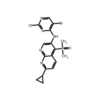 CP(C)(=O)c1c(Nc2nc(Cl)ncc2Br)cnc2nc(C3CC3)ccc12